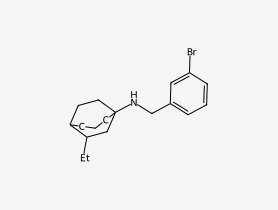 CCC1CC2(NCc3cccc(Br)c3)CCCC1CC2